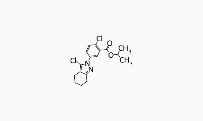 CC(C)OC(=O)c1cc(-n2nc3c(c2Cl)CCCC3)ccc1Cl